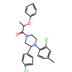 Cc1ccc(N2CCN(C(=O)C(C)Oc3ccccc3)CC2c2ccc(Cl)cc2)c(Cl)c1